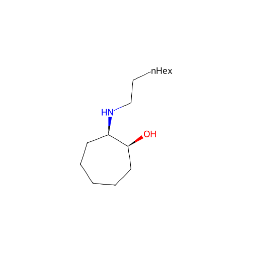 CCCCCCCCN[C@@H]1CCCCC[C@@H]1O